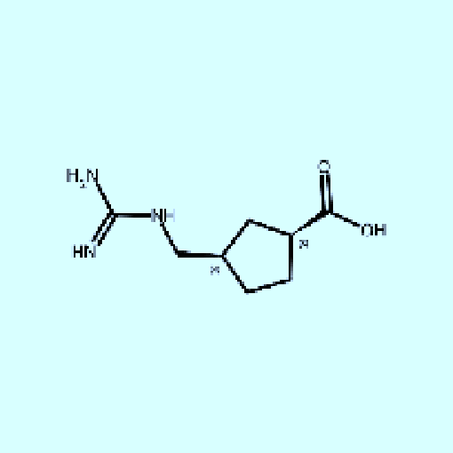 N=C(N)NC[C@@H]1CC[C@H](C(=O)O)C1